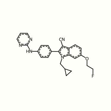 N#Cc1c(-c2ccc(Nc3ncccn3)cc2)n(CC2CC2)c2cc(OCCF)ccc12